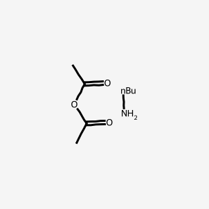 CC(=O)OC(C)=O.CCCCN